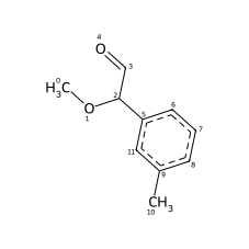 COC(C=O)c1cccc(C)c1